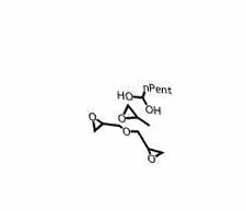 C(OCC1CO1)C1CO1.CC1CO1.CCCCCC(O)O